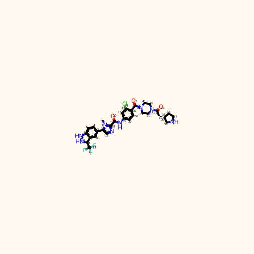 Cn1c(-c2ccc3c(c2)C(C(F)(F)F)NN3)cnc1C(=O)Nc1ccc(C(=O)N2CCN(C(=O)C[C@@H]3CCNC3)CC2)c(Cl)c1